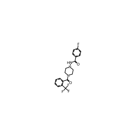 O=C(NN1CCN(C(=O)c2ccccc2C(F)(F)F)CC1)c1ccc(F)cc1